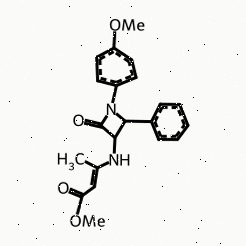 COC(=O)/C=C(\C)NC1C(=O)N(c2ccc(OC)cc2)C1c1ccccc1